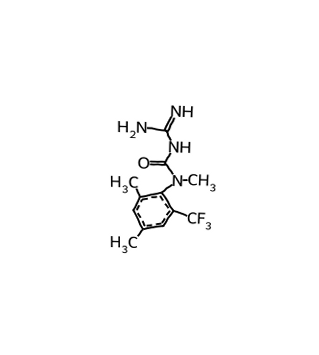 Cc1cc(C)c(N(C)C(=O)NC(=N)N)c(C(F)(F)F)c1